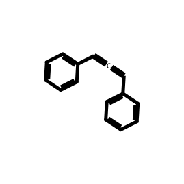 C(=Cc1ccccc1)=Cc1ccccc1